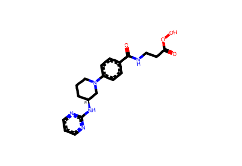 O=C(CCNC(=O)c1ccc(N2CCC[C@H](Nc3ncccn3)C2)cc1)OO